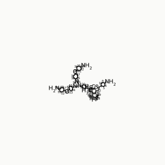 CC12SC(c3ccc(N)cc3)=CC1=C1C(=C3C=C(c4ccc(N5CN(c6ccc(Oc7ccc(N)cc7)cc6)CN(c6ccc(Oc7ccc(N)cc7)cc6)C5)cc4)SC32C)C(F)(F)C(F)(F)C1(F)F